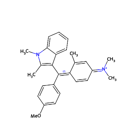 COc1ccc(/C(=C2\C=CC(=[N+](C)C)C=C2C)c2c(C)n(C)c3ccccc23)cc1